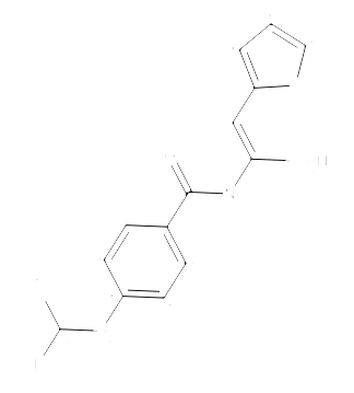 O=C(O)C(=Cc1cccs1)NC(=O)c1ccc(OC(F)F)cc1